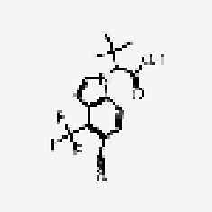 CC(C)(C)C(C(=O)O)n1ccc2c(C(F)(F)F)c(C#N)ccc21